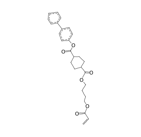 C=CC(=O)OCCCCOC(=O)C1CCC(C(=O)Oc2ccc(-c3ccccc3)cc2)CC1